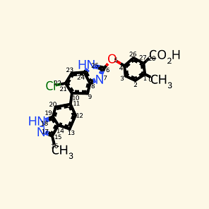 Cc1ccc(Oc2nc3cc(-c4ccc5c(C)n[nH]c5c4)c(Cl)cc3[nH]2)cc1C(=O)O